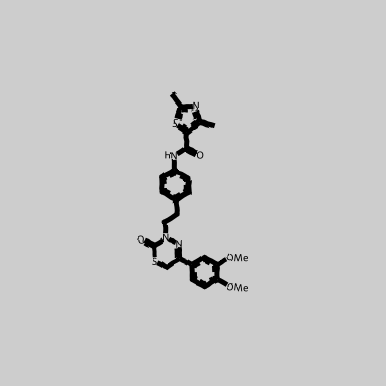 COc1ccc(C2=NN(CCc3ccc(NC(=O)c4sc(C)nc4C)cc3)C(=O)SC2)cc1OC